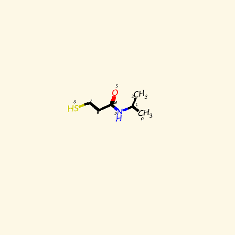 CC(C)NC(=O)CCS